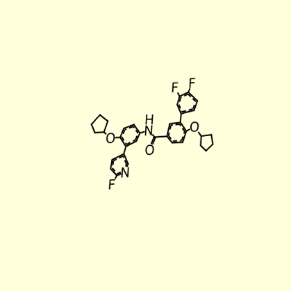 O=C(Nc1ccc(OC2CCCC2)c(-c2ccc(F)nc2)c1)c1ccc(OC2CCCC2)c(-c2ccc(F)c(F)c2)c1